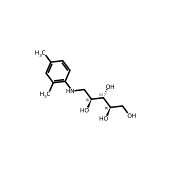 Cc1ccc(NC[C@H](O)[C@H](O)[C@H](O)CO)c(C)c1